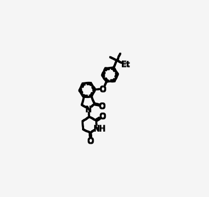 CCC(C)(C)c1ccc(Oc2cccc3c2C(=O)N(C2CCC(=O)NC2=O)C3)cc1